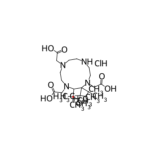 CC(C)(C)C1N(CC(=O)O)CCN(CC(=O)O)CCNCCN(CC(=O)O)C1(C(C)(C)C)C(C)(C)C.Cl